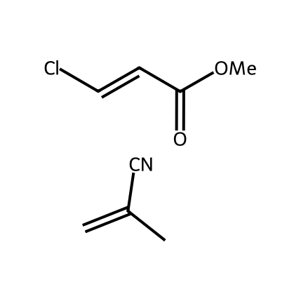 C=C(C)C#N.COC(=O)C=CCl